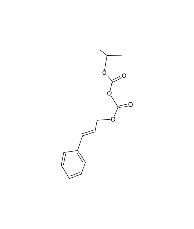 CC(C)OC(=O)OC(=O)OCC=Cc1ccccc1